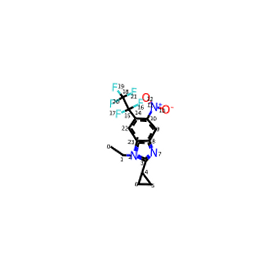 CCn1c(C2CC2)nc2cc([N+](=O)[O-])c(C(F)(F)C(F)(F)F)cc21